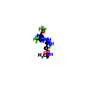 CC1(NC(=O)O[C@H]2CC[C@@H](c3cc(Nc4ncc(C(F)(F)F)c5nc(COC(F)(F)F)cn45)n[nH]3)[C@@H]2F)CC1